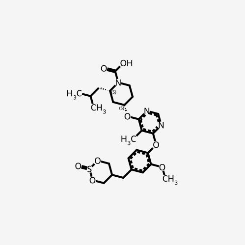 COc1cc(CC2COS(=O)OC2)ccc1Oc1ncnc(O[C@H]2CCN(C(=O)O)[C@@H](CC(C)C)C2)c1C